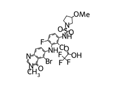 CO[C@@H]1CCN(S(=O)(=O)Nc2ccc(F)c(Nc3ccc4ncn(C)c(=O)c4c3Br)c2Cl)C1.O=C(O)C(F)(F)F